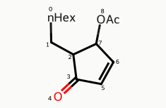 CCCCCCCC1C(=O)C=CC1OC(C)=O